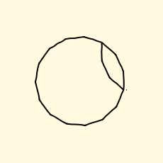 C1CCCCC[C]2CCC(CCCCC1)CC2